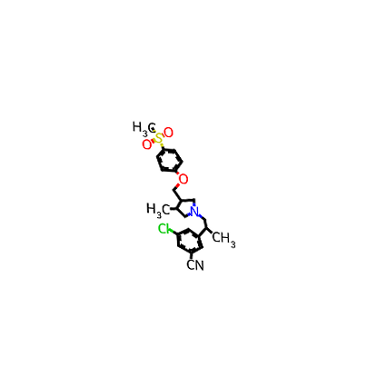 CC(CN1CC(C)C(COc2ccc(S(C)(=O)=O)cc2)C1)c1cc(Cl)cc(C#N)c1